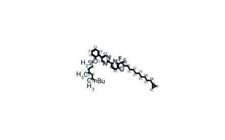 CCCCC(C)CC(C)CC[SiH2]Oc1ccccc1-c1cnc(-c2ccc3c(n2)C(F)(F)C(CCCCCCCCCC2CC2)O3)nc1